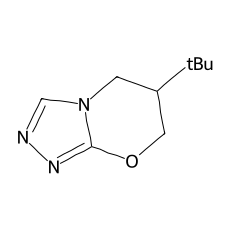 CC(C)(C)C1COc2nncn2C1